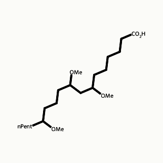 CCCCCC(CCCC(CC(CCCCCC(=O)O)OC)OC)OC